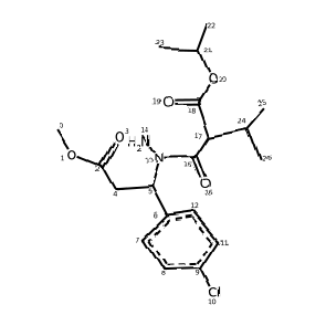 COC(=O)CC(c1ccc(Cl)cc1)N(N)C(=O)C(C(=O)OC(C)C)C(C)C